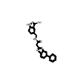 O=C(Cc1nc2ccc(-c3ccccc3)cc2s1)NCc1ccc2[nH]nc(O)c2c1